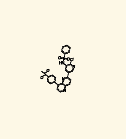 CS(=O)(=O)c1ccc(-c2ccnc3ccc(-c4cnc(Cl)c(NS(=O)(=O)c5ccccc5)c4)nc23)cc1